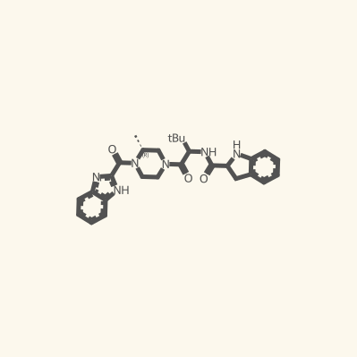 C[C@@H]1CN(C(=O)C(NC(=O)C2Cc3ccccc3N2)C(C)(C)C)CCN1C(=O)c1nc2ccccc2[nH]1